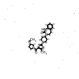 CO[C@H]1CCN(C(=O)c2sc(N3CCC(N4CCc5ccccc5NC4=O)CC3)nc2C)C1